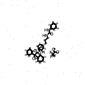 O=C(NCCC[N+]12CCC(CC1)[C@@H](OC(=O)C(O)(c1ccccc1)c1ccccc1)C2)Nc1ccccc1.O=C([O-])C(F)(F)F